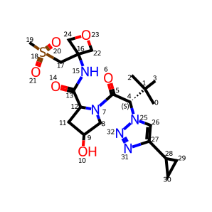 CC(C)(C)[C@@H](C(=O)N1CC(O)CC1C(=O)NC1(CS(C)(=O)=O)COC1)n1cc(C2CC2)nn1